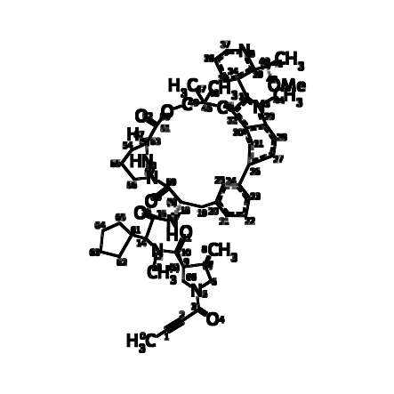 CC#CC(=O)N1C[C@H](C)[C@H](C(=O)N(C)C(C(=O)N[C@H]2Cc3cccc(c3)-c3ccc4c(c3)c(c(-c3cccnc3[C@H](C)OC)n4C)CC(C)(C)COC(=O)[C@@H]3CCCN(N3)C2=O)C2CCCC2)C1